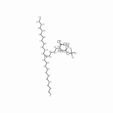 CCCCCCCCCCCCN(CCCCCCCCCCCC)CCCC[C@H](NC(=O)OC(C)(C)C)C(=O)O